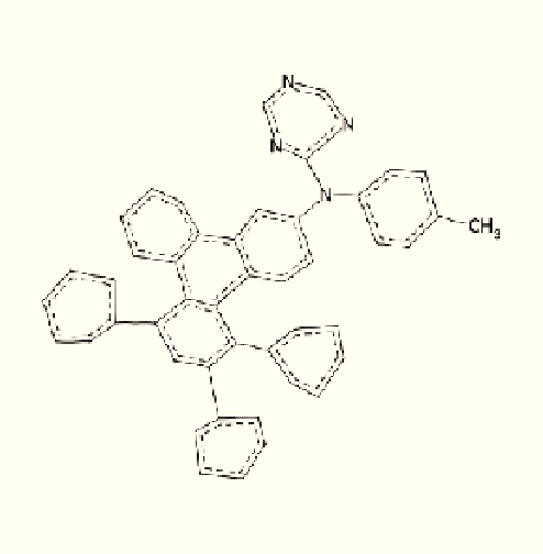 Cc1ccc(N(c2ccc3c(c2)c2ccccc2c2c(-c4ccccc4)cc(-c4ccccc4)c(-c4ccccc4)c32)c2ncncn2)cc1